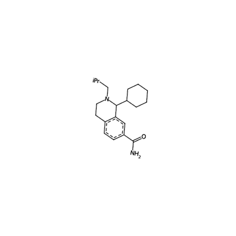 CC(C)CN1CCc2ccc(C(N)=O)cc2C1C1CCCCC1